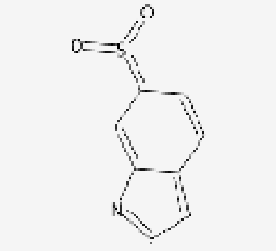 O=S(=O)=C1C=CC2=C[C]=NC2=C1